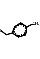 Cc1ccc([CH]I)cc1